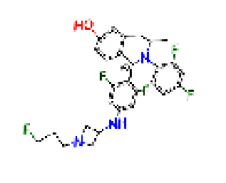 CC1Cc2cc(O)ccc2[C@H](c2c(F)cc(NC3CN(CCCF)C3)cc2F)N1c1ccc(F)cc1F